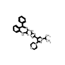 CC(C)n1cc(-c2nnc(N[C@H]3N=C(c4ccccc4)c4ccccc4NC3=O)o2)c(N2CCOCC2)n1